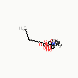 CCCCCCCC/C=C\CCCCCCCC(=O)C[C@@H](CC(=O)O)C(=O)OC1=CC[C@@]2(O)[C@@H](C)N(C)CC[C@@]23c2c(C)ccc(O)c2O[C@@H]13